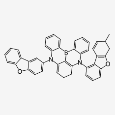 CC1C=Cc2c(oc3cccc(N4C5=C6B(c7ccccc7N(c7ccc8oc9ccccc9c8c7)C6=CCC5)c5ccccc54)c23)C1